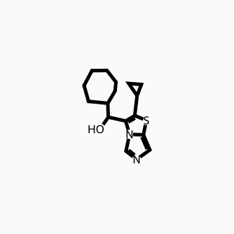 OC(c1c(C2CC2)sc2cncn12)C1CCCCCC1